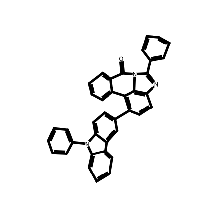 O=c1c2ccccc2c2c(-c3ccc4c(c3)c3ccccc3n4-c3ccccc3)ccc3nc(-c4ccccc4)n1c32